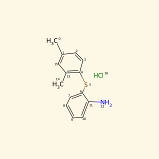 Cc1ccc(Sc2ccccc2N)c(C)c1.Cl